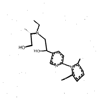 CCN(CC(O)c1ccc(-n2c(C)ccc2C)nc1)[C@@H](C)CO